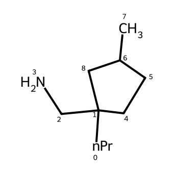 CCCC1(CN)CCC(C)C1